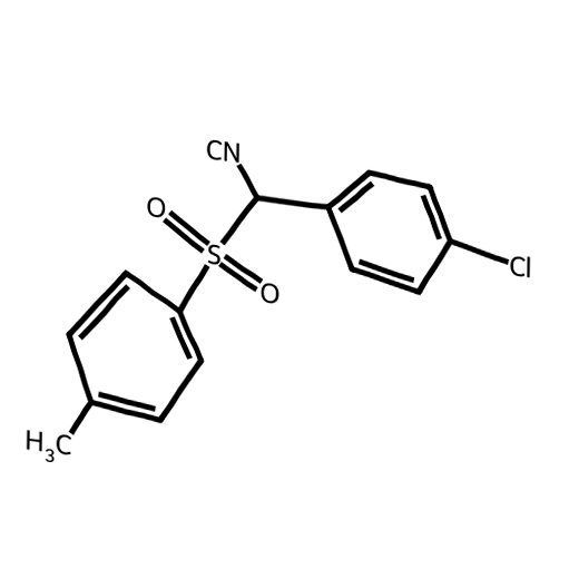 [C-]#[N+]C(c1ccc(Cl)cc1)S(=O)(=O)c1ccc(C)cc1